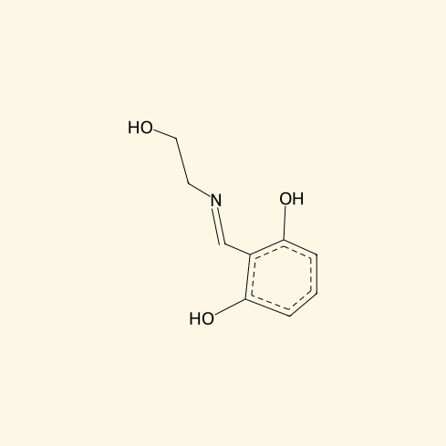 OCCN=Cc1c(O)cccc1O